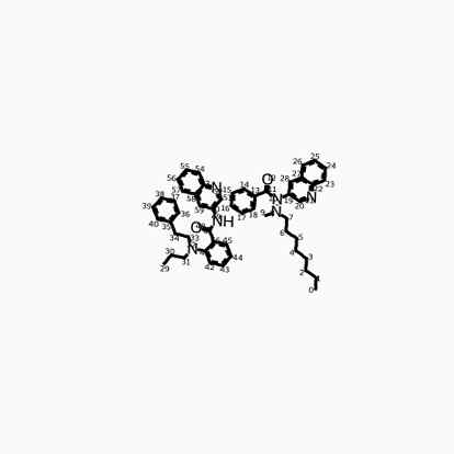 CCCCCCCCN(C)N(C(=O)c1ccccc1)c1cnc2ccccc2c1.CCCN(CCc1ccccc1)c1ccccc1C(=O)Nc1cnc2ccccc2c1